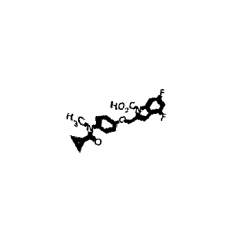 CN(C(=O)C1CC1)c1ccc(OCc2cc3c(F)cc(F)cc3n2C(=O)O)cc1